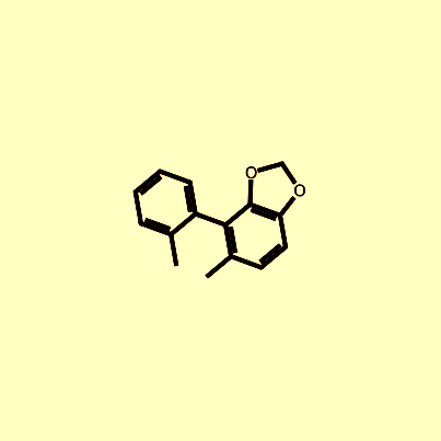 Cc1ccccc1-c1c(C)ccc2c1OCO2